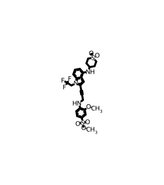 COc1cc(S(=O)(=O)OC)ccc1NCC#Cc1cc2c(NC3CCS(=O)(=O)CC3)cccc2n1CC(F)(F)F